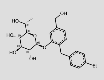 CCc1ccc(Cc2ccc(CO)cc2O[C@@H]2O[C@H]([C@@H](C)O)[C@@H](O)[C@H](O)[C@H]2O)cc1